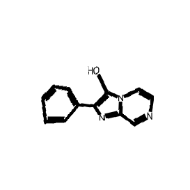 Oc1c(-c2ccccc2)nc2cnccn12